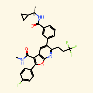 CNC(=O)c1c(-c2ccc(F)cc2)oc2nc(CCC(F)(F)F)c(-c3cccc(C(=O)N[C@@H](C)C4CC4)c3)cc12